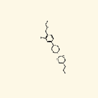 CCC[C@H]1CO[C@H](C2CCC(c3ccc(COCC)c(F)c3)CC2)OC1